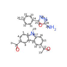 CC(=O)c1ccc2c(c1)c1cc(C(C)=O)ccc1n2C.Cc1ccc(-c2nnc(N)o2)cc1